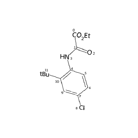 CCOC(=O)C(=O)Nc1ccc(Cl)cc1C(C)(C)C